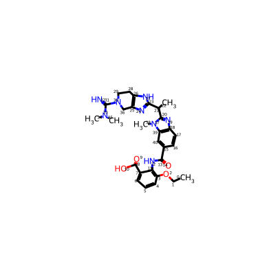 CCOc1cccc(C(=O)O)c1NC(=O)c1ccc2nc(C(C)c3nc4c([nH]3)CCN(C(=N)N(C)C)C4)n(C)c2c1